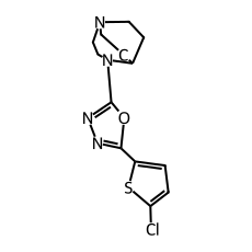 Clc1ccc(-c2nnc(N3CCN4CCC3CC4)o2)s1